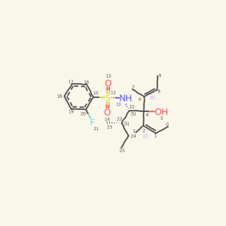 C/C=C(/C)C(O)(/C(C)=C/C)[C@@H](NS(=O)(=O)c1ccccc1F)[C@@H](C)CC